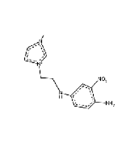 Cn1cc[n+](CCNc2ccc(N)c([N+](=O)[O-])c2)c1